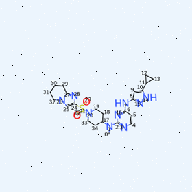 CN(c1nccc(Nc2cc(C3CC3)[nH]n2)n1)C1CCN(S(=O)(=O)c2cn3c(n2)CCCC3)CC1